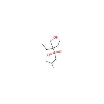 CCC(CC)(CO)S(=O)(=O)CC(C)C